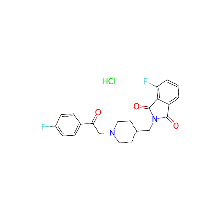 Cl.O=C(CN1CCC(CN2C(=O)c3cccc(F)c3C2=O)CC1)c1ccc(F)cc1